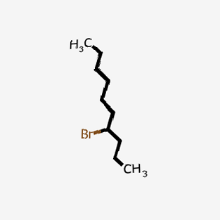 CCCCCCC(Br)CCC